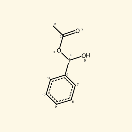 CC(=O)OI(O)c1ccccc1